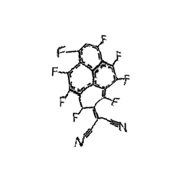 N#CC(C#N)=C1C(F)=c2c(F)c(F)c3c(F)cc(F)c4c(F)c(F)c(c2c43)C1F